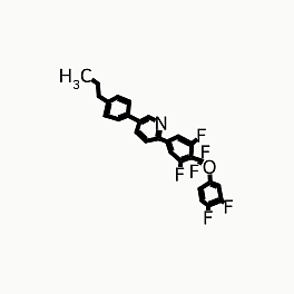 CCCc1ccc(-c2ccc(-c3cc(F)c(C(F)(F)Oc4ccc(F)c(F)c4)c(F)c3)nc2)cc1